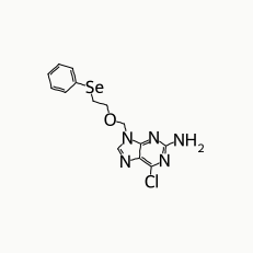 Nc1nc(Cl)c2ncn(COCC[Se]c3ccccc3)c2n1